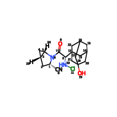 N#C[C@@H]1C[C@@H]2C[C@@H]2N1C(=O)[C@@H](NCl)C12CC3CC(CC(O)(C3)C1)C2